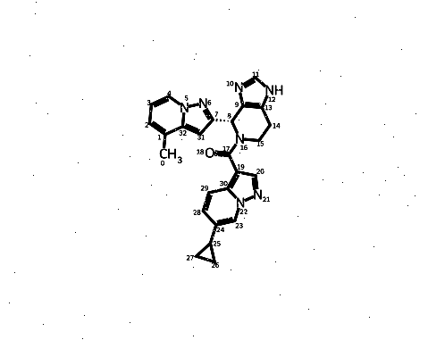 Cc1cccn2nc([C@@H]3c4nc[nH]c4CCN3C(=O)c3cnn4cc(C5CC5)ccc34)cc12